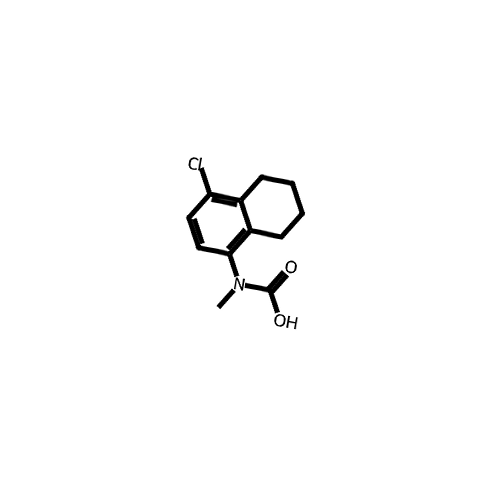 CN(C(=O)O)c1ccc(Cl)c2c1CCCC2